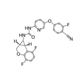 N#Cc1ccc(Oc2ccc(NC(=O)NC3[C@H]4COc5c(F)ccc(F)c5[C@@H]34)nc2)cc1F